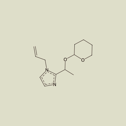 C=CCn1ccnc1C(C)OC1CCCCO1